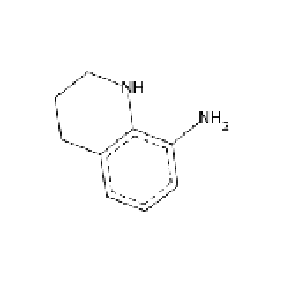 Nc1cccc2c1NCCC2